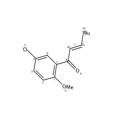 COc1ccc(Cl)cc1C(=O)/C=C/C(C)(C)C